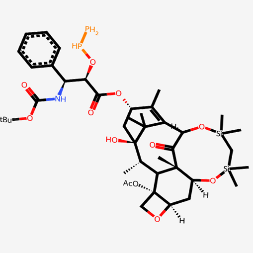 CC(=O)O[C@@]12CO[C@@H]1C[C@@H]1O[Si](C)(C)C[Si](C)(C)O[C@H]3C(=O)[C@@]1(C)C2[C@H](C)[C@]1(O)C[C@H](OC(=O)[C@H](OPP)[C@@H](NC(=O)OC(C)(C)C)c2ccccc2)C(C)=C3C1(C)C